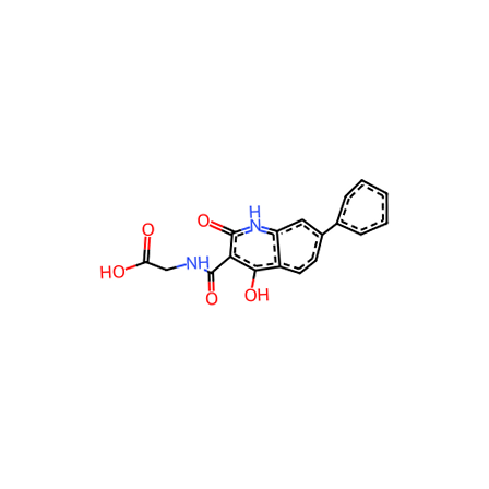 O=C(O)CNC(=O)c1c(O)c2ccc(-c3ccccc3)cc2[nH]c1=O